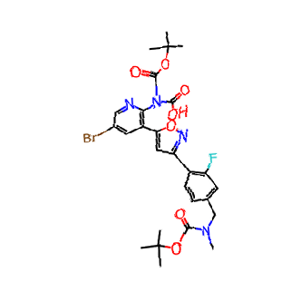 CN(Cc1ccc(-c2cc(-c3cc(Br)cnc3N(C(=O)O)C(=O)OC(C)(C)C)on2)c(F)c1)C(=O)OC(C)(C)C